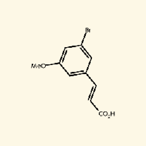 COc1cc(Br)cc(C=CC(=O)O)c1